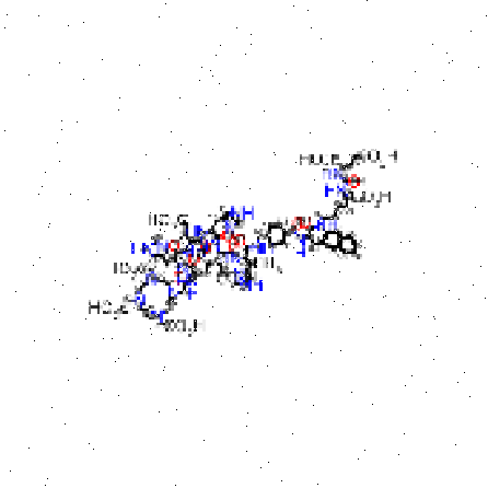 C[C@H](c1c[nH]cn1)[C@H](NC(=O)[C@H](CCC(=O)O)NC(=O)[C@H](Cc1c[nH]cn1)NC(=O)[C@H](CCC(=O)O)NC(=O)[C@H](Cc1c[nH]cn1)NC(=O)[C@H](CCC(=O)O)NC(=O)CN1CCN(CC(=O)O)CCN(CC(=O)O)CCN(CC(=O)O)CC1)C(=O)NC[C@H]1CC[C@H](C(=O)NC(Cc2ccc3ccccc3c2)C(=O)NCCCC[C@H](NC(=O)N[C@@H](CCC(=O)O)C(=O)O)C(=O)O)CC1